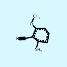 COc1c[c]cc(N)c1C#N